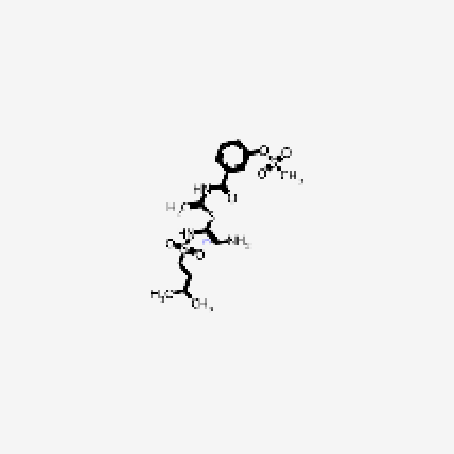 C=C(NC(=O)c1cccc(OS(C)(=O)=O)c1)S/C(=C\N)NS(=O)(=O)CCC(C)C